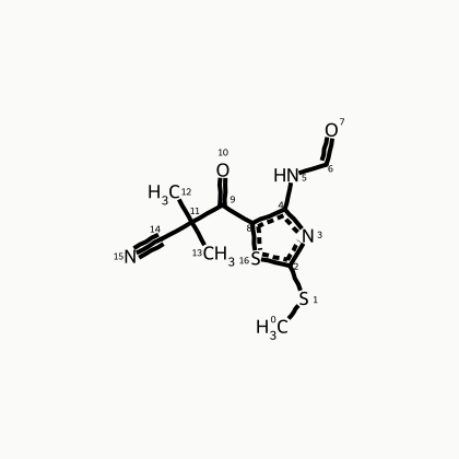 CSc1nc(NC=O)c(C(=O)C(C)(C)C#N)s1